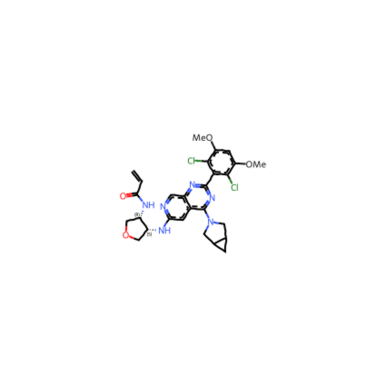 C=CC(=O)N[C@H]1COC[C@H]1Nc1cc2c(N3CC4CC4C3)nc(-c3c(Cl)c(OC)cc(OC)c3Cl)nc2cn1